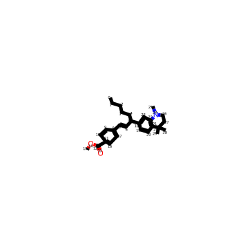 CCCCCC(/C=C/c1ccc(C(=O)OC)cc1)c1ccc2c(c1)N(C)CCC2(C)C